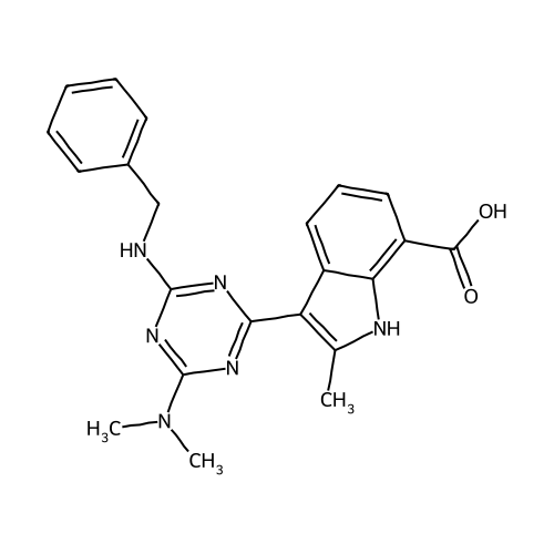 Cc1[nH]c2c(C(=O)O)cccc2c1-c1nc(NCc2ccccc2)nc(N(C)C)n1